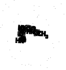 CN1CCC(NC(=O)c2ccc(Nc3ncc4ccc(-c5cn[nH]c5)cc4n3)cc2)CC1